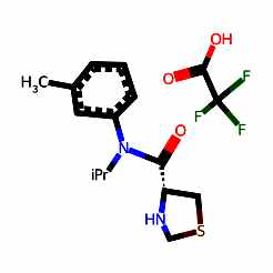 Cc1cccc(N(C(=O)[C@@H]2CSCN2)C(C)C)c1.O=C(O)C(F)(F)F